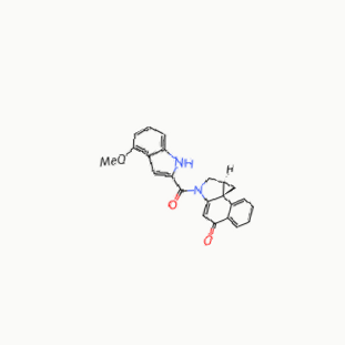 COc1cccc2[nH]c(C(=O)N3C[C@H]4C[C@@]45C3=CC(=O)c3ccccc35)cc12